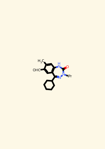 Cc1cc2c(cc1C=O)C(C1CCCCC1)=NN(C(C)C)C(=O)N2